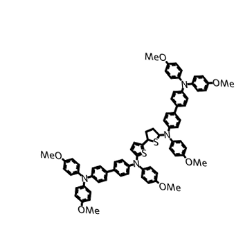 COc1ccc(N(c2ccc(OC)cc2)c2ccc(-c3ccc(N(c4ccc(OC)cc4)c4ccc(C5CCC(N(c6ccc(OC)cc6)c6ccc(-c7ccc(N(c8ccc(OC)cc8)c8ccc(OC)cc8)cc7)cc6)S5)s4)cc3)cc2)cc1